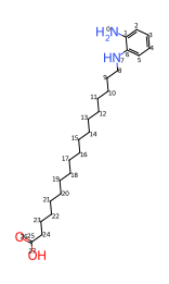 Nc1ccccc1NCCCCCCCCCCCCCCCCCC(=O)O